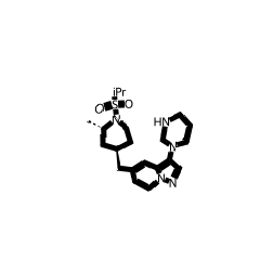 CC(C)S(=O)(=O)N1CC[C@@H](Cc2ccn3ncc(N4C=CCNC4)c3c2)C[C@@H]1C